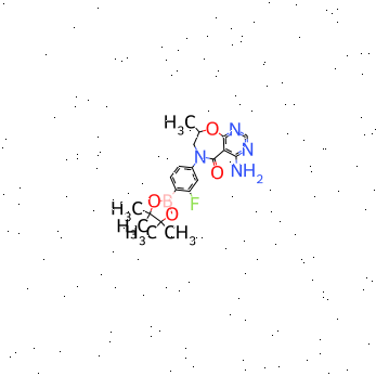 CC1CN(c2ccc(B3OC(C)(C)C(C)(C)O3)c(F)c2)C(=O)c2c(N)ncnc2O1